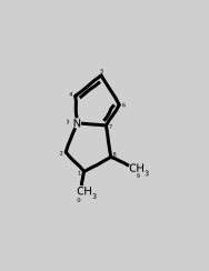 CC1Cn2cccc2C1C